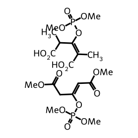 COC(=O)C=C(CC(=O)OC)OP(=O)(OC)OC.COP(=O)(OC)OC(=C(C)C(=O)O)C(C)C(=O)O